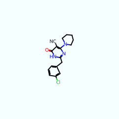 N#Cc1c(N2CCCCC2)nc(Cc2cccc(Cl)c2)[nH]c1=O